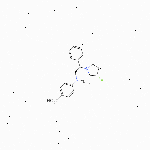 CN(C[C@@H](c1ccccc1)N1CC[C@H](F)C1)c1ccc(C(=O)O)cc1